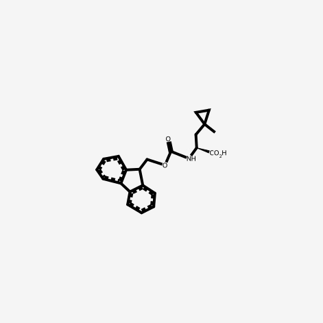 CC1(C[C@H](NC(=O)OCC2c3ccccc3-c3ccccc32)C(=O)O)CC1